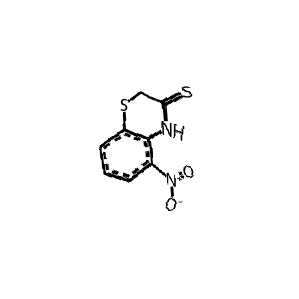 O=[N+]([O-])c1cccc2c1NC(=S)CS2